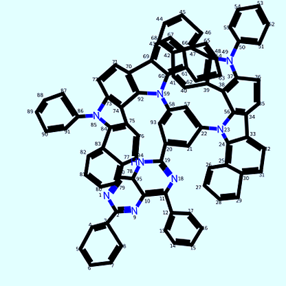 C1=NC(c2ccccc2)=NC2=C(c3ccccc3)N=C(c3cc(-n4c5c6ccccc6ccc5c5ccc6c(c7ccc8ccccc8c7n6-c6ccccc6)c54)cc(-n4c5c6ccccc6ccc5c5ccc6c(c7ccc8ccccc8c7n6-c6ccccc6)c54)c3)NC12